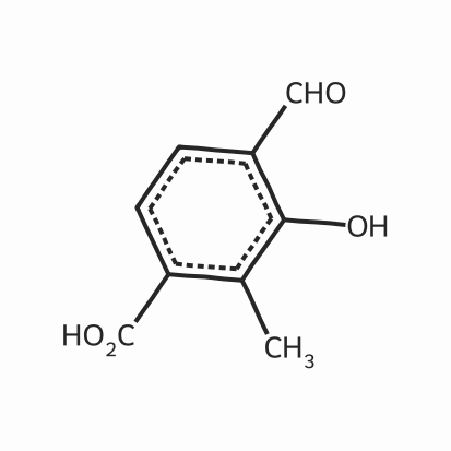 Cc1c(C(=O)O)ccc(C=O)c1O